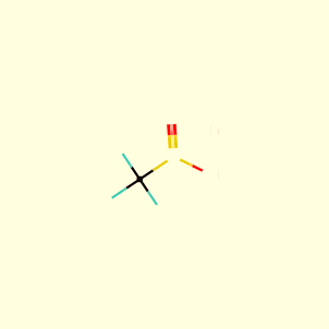 O=S(O)C(F)(F)F.[Li]